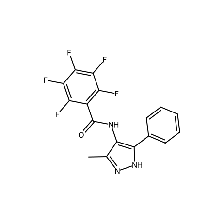 Cc1n[nH]c(-c2ccccc2)c1NC(=O)c1c(F)c(F)c(F)c(F)c1F